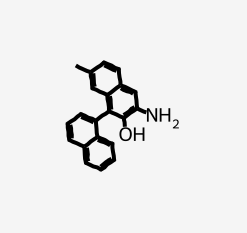 Cc1ccc2cc(N)c(O)c(-c3cccc4ccccc34)c2c1